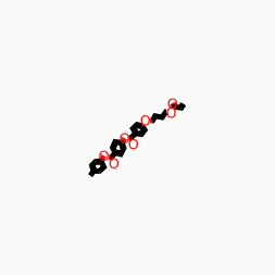 C=CC(=O)OCCCCOc1ccc(C(=O)Oc2ccc(C(=O)OC3=CC=C(C)CC3)cc2)cc1